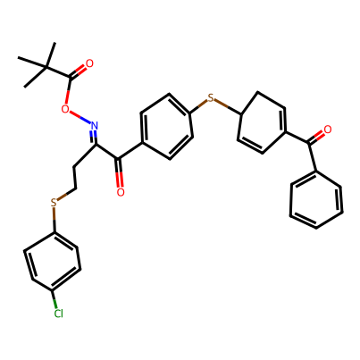 CC(C)(C)C(=O)O/N=C(\CCSc1ccc(Cl)cc1)C(=O)c1ccc(SC2C=CC(C(=O)c3ccccc3)=CC2)cc1